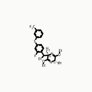 CCOC1=N[C@](C)(C(CC)c2ccc(Sc3cccc(C(F)(F)F)c3)cc2F)C(OCC)=N[C@H]1C(C)C